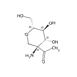 CC(=O)[C@]1(N)[CH]O[C@H](CO)[C@@H](O)[C@@H]1O